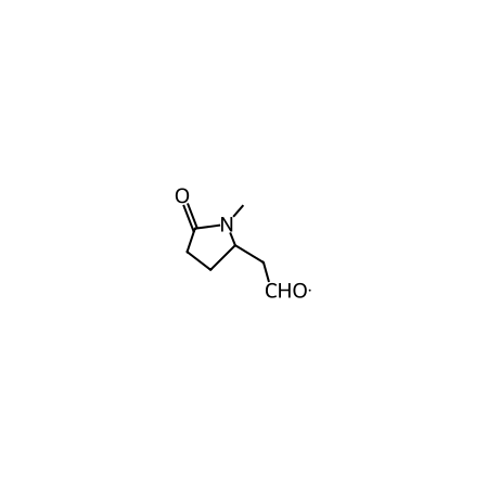 CN1C(=O)CCC1C[C]=O